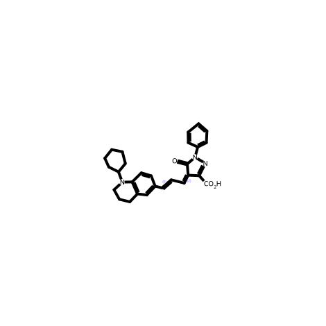 O=C(O)C1=NN(c2ccccc2)C(=O)/C1=C\C=C\c1ccc2c(c1)CCCN2C1CCCCC1